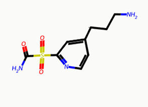 NCC[CH]c1ccnc(S(=O)(=O)C(N)=O)c1